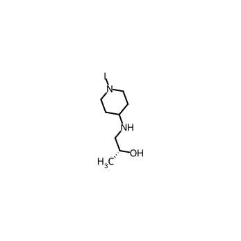 C[C@@H](O)CNC1CCN(I)CC1